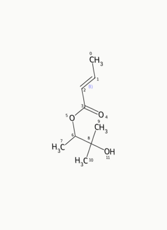 C/C=C/C(=O)OC(C)C(C)(C)O